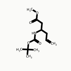 C=CCC(CC(=O)OC)NC(=O)OC(C)(C)C